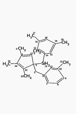 CC1=C(C)C(Cc2cccc(C)c2)([SiH2]c2cc(C)cc(C)c2)C(C)=C1C